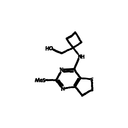 CSc1nc2c(c(NC3(CO)CCC3)n1)SCC2